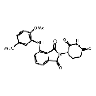 COc1ccc(OC)c(Nc2cccc3c2C(=O)N(C2CCC(=O)NC2=O)C3=O)c1